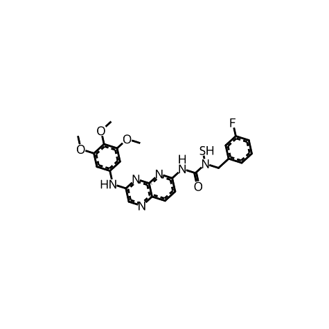 COc1cc(Nc2cnc3ccc(NC(=O)N(S)Cc4cccc(F)c4)nc3n2)cc(OC)c1OC